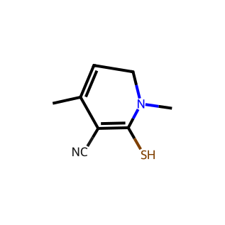 CC1=CCN(C)C(S)=C1C#N